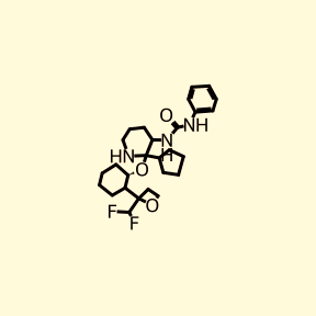 O=C(Nc1ccccc1)NC1CCCNC1(O[C@H]1CCCCC1C1(C(F)F)CCO1)C1CCCC1